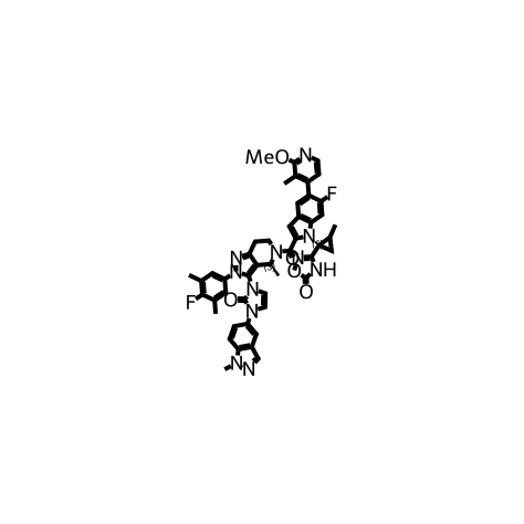 COc1nccc(-c2cc3cc(C(=O)N4CCc5nn(-c6cc(C)c(F)c(C)c6)c(-n6ccn(-c7ccc8c(cnn8C)c7)c6=O)c5[C@@H]4C)n([C@@]4(c5noc(=O)[nH]5)CC4C)c3cc2F)c1C